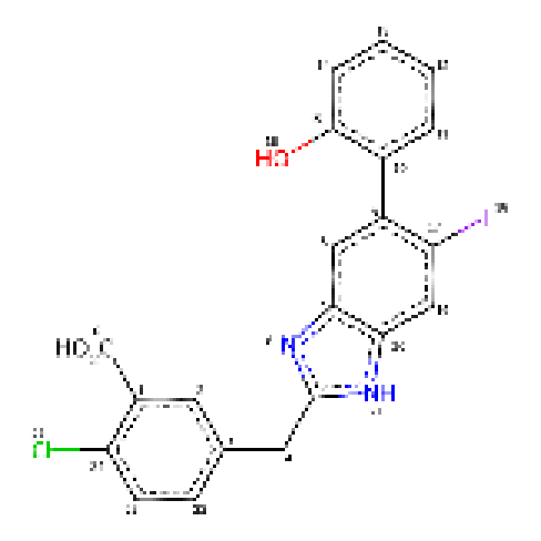 O=C(O)c1cc(Cc2nc3cc(-c4ccccc4O)c(I)cc3[nH]2)ccc1Cl